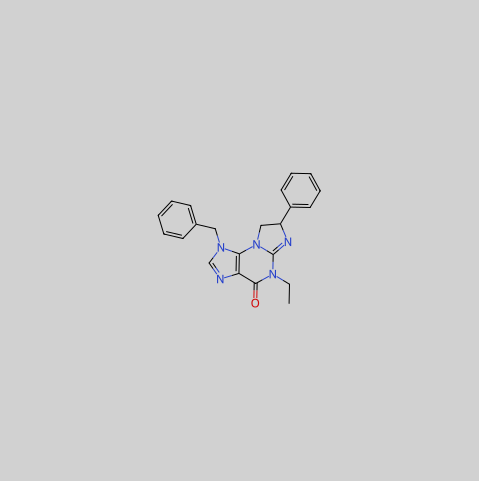 CCN1C(=O)c2ncn(Cc3ccccc3)c2N2CC(c3ccccc3)N=C12